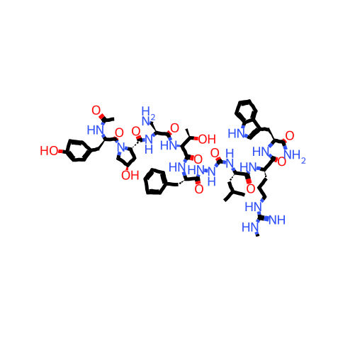 CNC(=N)NCCC[C@H](NC(=O)[C@H](CC(C)C)NC(=O)NNC(=O)[C@H](Cc1ccccc1)NC(=O)[C@@H](NC(=O)[C@H](CN)NC(=O)[C@@H]1C[C@@H](O)CN1C(=O)[C@@H](Cc1ccc(O)cc1)NC(C)=O)[C@@H](C)O)C(=O)N[C@@H](Cc1c[nH]c2ccccc12)C(N)=O